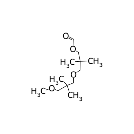 COCC(C)(C)COCC(C)(C)COC=O